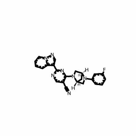 N#Cc1cnc(-c2cnn3ccccc23)nc1N1C[C@@H]2C[C@@H]1CN2c1cccc(F)c1